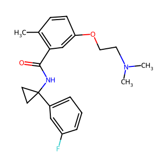 Cc1ccc(OCCN(C)C)cc1C(=O)NC1(c2cccc(F)c2)CC1